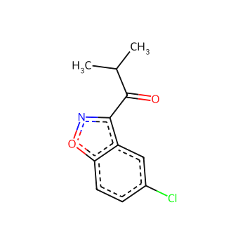 CC(C)C(=O)c1noc2ccc(Cl)cc12